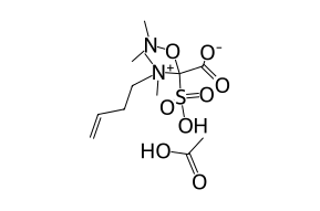 C=CCC[N+](C)(C)C(ON(C)C)(C(=O)[O-])S(=O)(=O)O.CC(=O)O